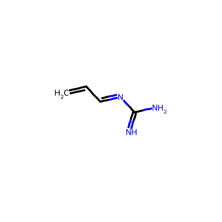 C=CC=NC(=N)N